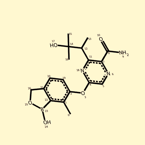 Cc1c(Oc2cnc(C(N)=O)c(C(C)C(C)(C)O)n2)ccc2c1B(O)OC2